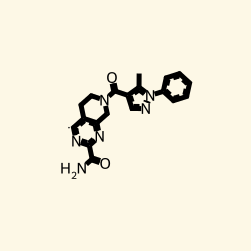 Cc1c(C(=O)N2CCc3[c]nc(C(N)=O)nc3C2)cnn1-c1ccccc1